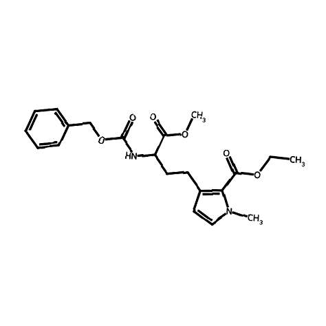 CCOC(=O)c1c(CCC(NC(=O)OCc2ccccc2)C(=O)OC)ccn1C